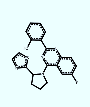 Oc1ccccc1-c1nc(N2CCCC2c2nccs2)c2cc(F)ccc2n1